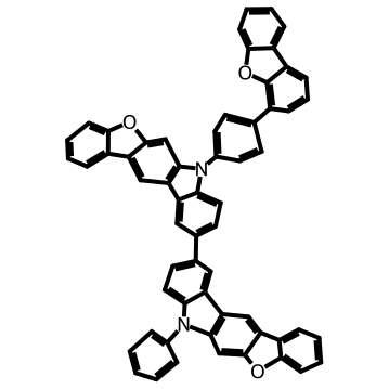 c1ccc(-n2c3ccc(-c4ccc5c(c4)c4cc6c(cc4n5-c4ccc(-c5cccc7c5oc5ccccc57)cc4)oc4ccccc46)cc3c3cc4c(cc32)oc2ccccc24)cc1